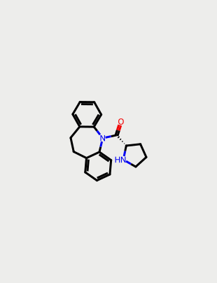 O=C([C@@H]1CCCN1)N1c2ccccc2CCc2ccccc21